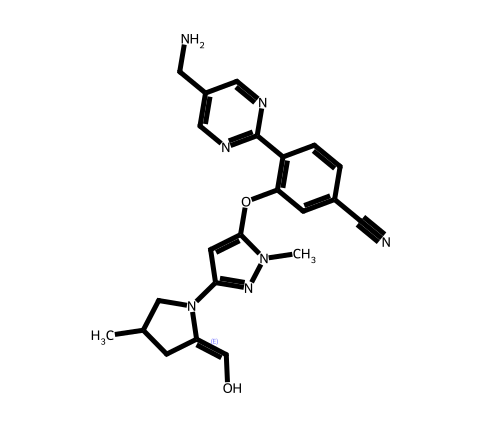 CC1C/C(=C\O)N(c2cc(Oc3cc(C#N)ccc3-c3ncc(CN)cn3)n(C)n2)C1